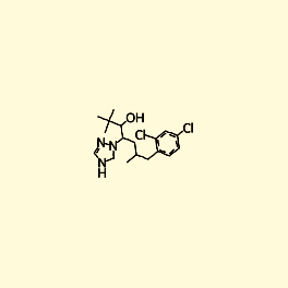 CC(Cc1ccc(Cl)cc1Cl)CC(C(O)C(C)(C)C)N1CNC=N1